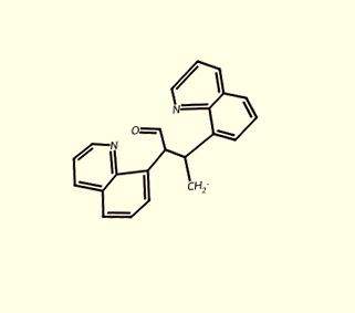 [CH2]C(c1cccc2cccnc12)C(C=O)c1cccc2cccnc12